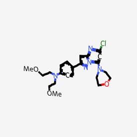 COCCN(CCOC)c1ccc(-c2cc3nc(Cl)cc(N4CCOCC4)n3n2)cc1